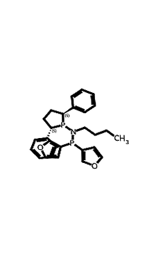 CCCCN(P(c1ccoc1)c1ccoc1)P1[C@H](c2ccccc2)CC[C@H]1c1ccccc1